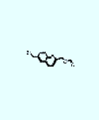 O=COCc1ccc2cc(CBr)ccc2n1